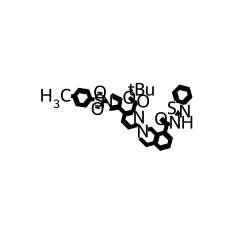 Cc1ccc(S(=O)(=O)n2ccc(-c3ccc(N4CCc5cccc(C(=O)Nc6nc7ccccc7s6)c5C4)nc3C(=O)OC(C)(C)C)c2)cc1